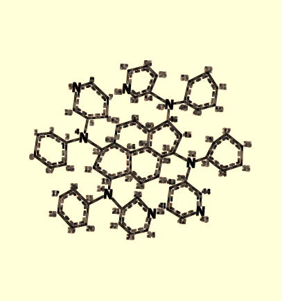 c1ccc(N(c2cccnc2)c2cc(N(c3ccccc3)c3cccnc3)c3ccc4c(N(c5ccccc5)c5cccnc5)cc(N(c5ccccc5)c5cccnc5)c5ccc2c3c54)cc1